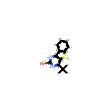 CC(C)(C)c1nc(Br)nc2c1sc1ccccc12